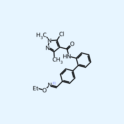 CCO/N=C/c1ccc(-c2ccccc2NC(=O)c2c(C)nn(C)c2Cl)cc1